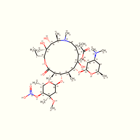 CC[C@H]1OC(=O)[C@H](C)[C@@H](O[C@H]2C[C@@](C)(OC)[C@@H](O[N+](=O)[O-])[C@H](C)O2)[C@H](C)[C@@H](O[C@@H]2O[C@H](C)C[C@H](N(C)C)[C@H]2OC(C)=O)[C@](C)(O)C[C@@H](C)CN(C)[C@H](C)[C@@H](O)[C@]1(C)O